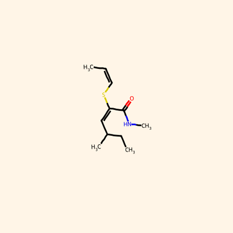 C/C=C\SC(=CC(C)CC)C(=O)NC